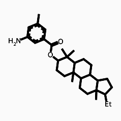 CCC1CCC2C3CCC4C(C)(C)C(OC(=O)c5cc(C)cc(N)c5)CCC4(C)C3CCC12C